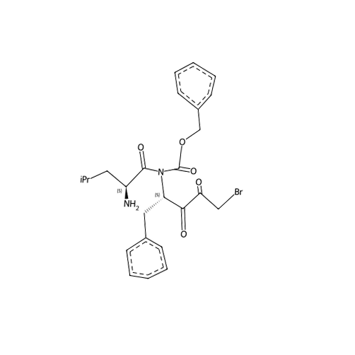 CC(C)C[C@H](N)C(=O)N(C(=O)OCc1ccccc1)[C@@H](Cc1ccccc1)C(=O)C(=O)CBr